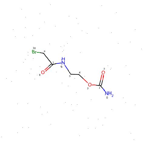 NC(=O)OCCNC(=O)CBr